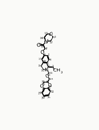 C/C=C1/c2ccc(OCC(=O)N3CCOCC3)cc2CCN1COCC1COc2ccccc2O1